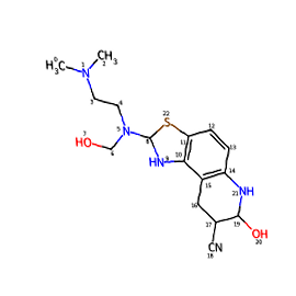 CN(C)CCN(CO)C1Nc2c(ccc3c2CC(C#N)C(O)N3)S1